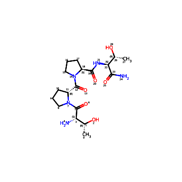 C[C@@H](O)[C@H](N)C(=O)N1CCC[C@@H]1C(=O)N1CCC[C@H]1C(=O)N[C@H](C(N)=O)[C@@H](C)O